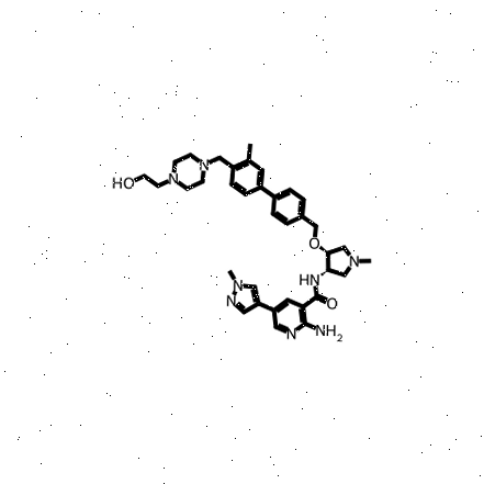 Cc1cc(-c2ccc(CO[C@H]3CN(C)C[C@@H]3NC(=O)c3cc(-c4cnn(C)c4)cnc3N)cc2)ccc1CN1CCN(CCO)CC1